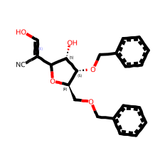 N#C/C(=C\O)C1O[C@H](COCc2ccccc2)[C@@H](OCc2ccccc2)[C@H]1O